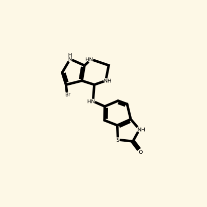 O=c1[nH]c2ccc(NC3NCNc4[nH]cc(Br)c43)cc2s1